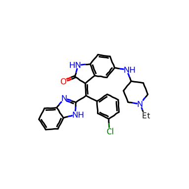 CCN1CCC(Nc2ccc3c(c2)/C(=C(\c2cccc(Cl)c2)c2nc4ccccc4[nH]2)C(=O)N3)CC1